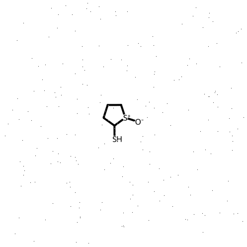 [O-][S+]1CCCC1S